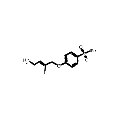 CCC(C)S(=O)(=O)c1ccc(OC/C(F)=C/CN)cc1